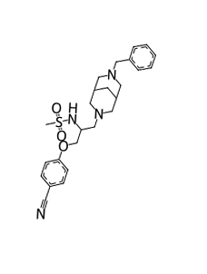 CS(=O)(=O)NC(COc1ccc(C#N)cc1)CN1CC2CC(CN(Cc3ccccc3)C2)C1